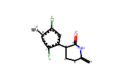 C=C1CCC(c2cc(Cl)c(C(C)(C)C)cc2F)C(=O)N1